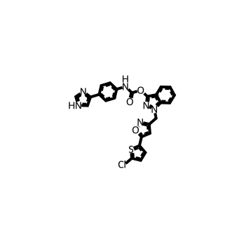 O=C(Nc1ccc(-c2c[nH]cn2)cc1)Oc1nn(Cc2cc(-c3ccc(Cl)s3)on2)c2ccccc12